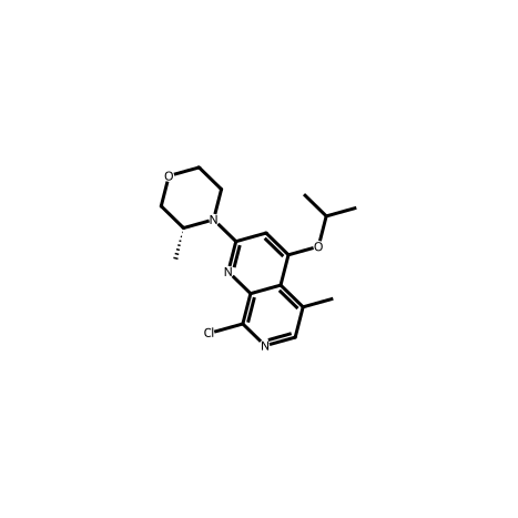 Cc1cnc(Cl)c2nc(N3CCOC[C@H]3C)cc(OC(C)C)c12